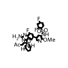 COc1ncc(-c2cc(F)c3nc(N)nc(N4C[C@H]5CC[C@@H](C4)N5C(=O)/C=C/C(C)=O)c3c2)cc1NS(=O)(=O)c1ccc(F)cc1F